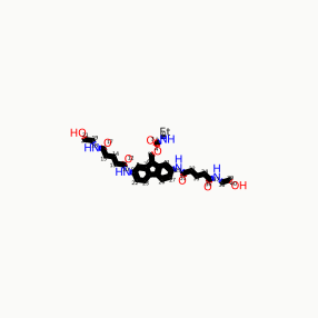 CCNC(=O)OCC1C2=CC(NC(=O)CCCC(=O)NCCO)=CCC2c2ccc(NC(=O)CCCC(=O)NCCO)cc21